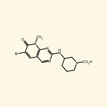 Cn1c(=O)c(Br)cc2cnc(NC3CCCN(C(=O)O)C3)nc21